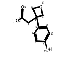 O=C(O)CC1(c2ccc(O)cc2)COC1